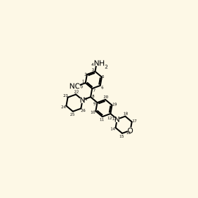 N#Cc1cc(N)ccc1C(c1ccc(N2CCOCC2)cc1)N1CCCCC1